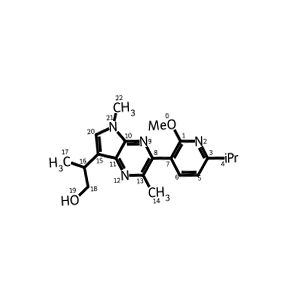 COc1nc(C(C)C)ccc1-c1nc2c(nc1C)c(C(C)CO)cn2C